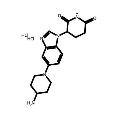 Cl.Cl.NC1CCN(c2ccc3c(c2)ncn3C2CCC(=O)NC2=O)CC1